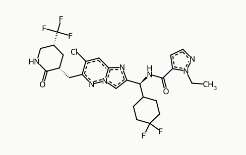 CCn1nccc1C(=O)N[C@H](c1cn2nc(C[C@H]3C[C@@H](C(F)(F)F)CNC3=O)c(Cl)cc2n1)C1CCC(F)(F)CC1